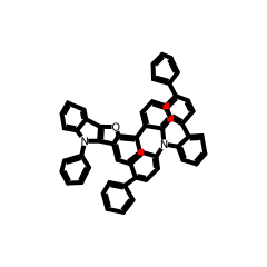 c1ccc(-c2ccc(-c3ccccc3N(c3ccc(-c4ccccc4)cc3)c3ccccc3-c3cccc4c3oc3c5ccccc5n(-c5ccccc5)c43)cc2)cc1